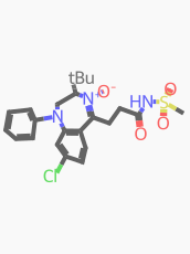 CC(C)(C)C1CN(c2ccccc2)c2cc(Cl)ccc2C(CCC(=O)NS(C)(=O)=O)=[N+]1[O-]